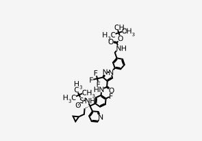 CC(C)(C)OC(=O)NCc1cccc(-n2cc(C(=O)Nc3cc([C@](CCC4CC4)(N[S@+]([O-])C(C)(C)C)c4cccnc4)ccc3F)c(C(F)(F)F)n2)c1